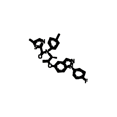 C=C(Oc1ccc2c(cnn2-c2ccc(F)cc2)c1)[C@H](C)N(C(=O)c1ncc(C)s1)c1ccc(C)cc1